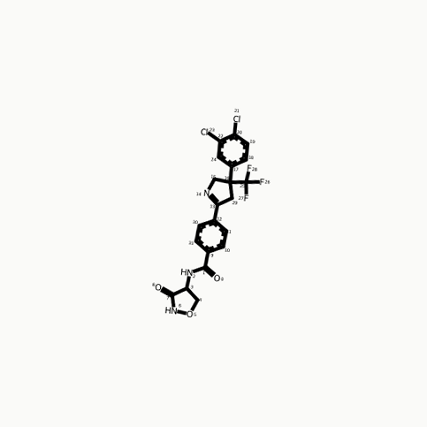 O=C(NC1CONC1=O)c1ccc(C2=NCC(c3ccc(Cl)c(Cl)c3)(C(F)(F)F)C2)cc1